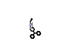 C#CC/N=C/N1CCC(C(c2ccccc2)c2ccccc2)CC1